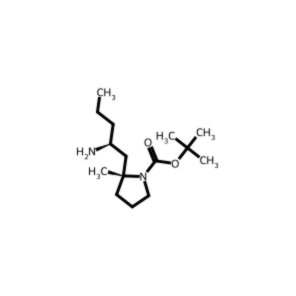 CCC[C@H](N)C[C@@]1(C)CCCN1C(=O)OC(C)(C)C